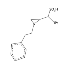 CC(C)C(C1CN1CCc1ccccc1)S(=O)(=O)O